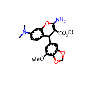 CCOC(=O)C1=C(N)Oc2cc(N(C)C)ccc2C1c1cc(OC)c2c(c1)OCO2